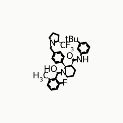 Cc1cccc(F)c1[C@H](O)N1CCC[C@H](C(=O)Nc2cccc(C(C)(C)C)c2)[C@@H]1c1ccc(CN2CCC[C@@H]2C(F)(F)F)cc1